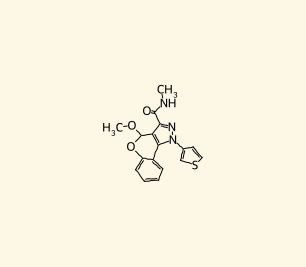 CNC(=O)c1nn(-c2ccsc2)c2c1C(OC)Oc1ccccc1-2